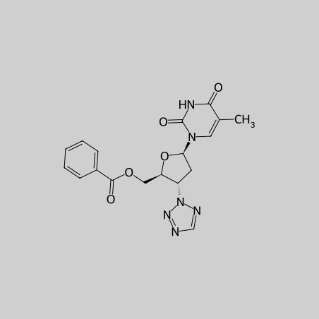 Cc1cn([C@H]2C[C@H](n3ncnn3)[C@@H](COC(=O)c3ccccc3)O2)c(=O)[nH]c1=O